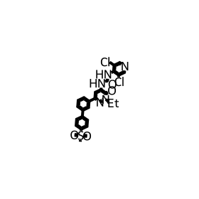 CCn1nc(-c2cccc(-c3ccc(S(C)(=O)=O)cc3)c2)cc(NC(=O)Nc2c(Cl)cncc2Cl)c1=O